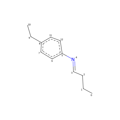 CCCC=Nc1ccc(CC)cc1